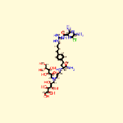 C[C@](CCc1ccc(CCCCNC(=N)NC(=O)c2nc(Cl)c(N)nc2N)cc1)(NCCCN(CC(O)C(O)C(O)C(O)CO)CC(O)C(O)C(O)C(O)CO)C(N)=O